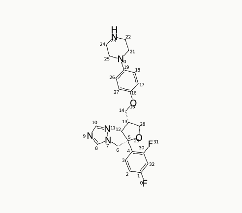 Fc1ccc([C@@]2(Cn3cncn3)C[C@H](COc3ccc(N4CCNCC4)cc3)CO2)c(F)c1